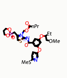 CCCC(=O)OCn1c(CP2(=O)OCCCO2)cs/c1=N\C(=O)c1cc(Oc2ccc(SC)nc2)cc(OC(CC)COC)c1